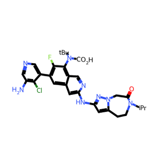 CC(C)N1CCc2cc(Nc3cc4cc(-c5cncc(N)c5Cl)c(F)c(N(C(=O)O)C(C)(C)C)c4cn3)nn2CC1=O